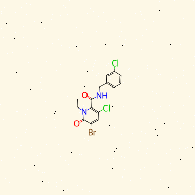 CCn1c(C(=O)NCc2cccc(Cl)c2)c(Cl)cc(Br)c1=O